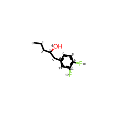 CCCC(O)Cc1ccc(F)c(F)c1